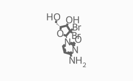 Nc1ccn([C@@H]2O[C@H](CO)C(O)C2(Br)Br)c(=O)n1